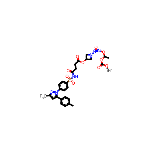 Cc1ccc(-c2cc(C(F)(F)F)nn2-c2ccc(S(=O)(=O)NC(=O)CCC(=O)OC3CN(n4on4OC(C)OC(=O)OC(C)C)C3)cc2)cc1